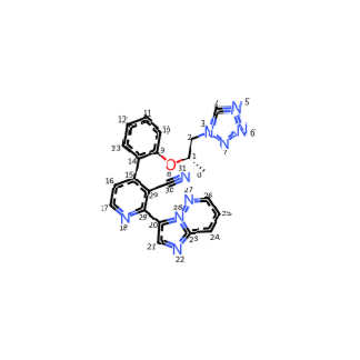 C[C@@H](Cn1cnnn1)Oc1ccccc1-c1ccnc(-c2cnc3cccnn23)c1C#N